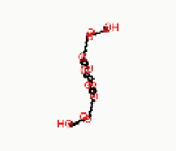 CC(CCCCCCCCOc1ccc(C(=O)Oc2ccc3cc(OC(=O)c4ccc(OCCCCCCCCC(C)(C)OC(=O)CCCCCC(C)(C)O)cc4)ccc3c2)cc1)OC(=O)CCCCCC(C)(C)O